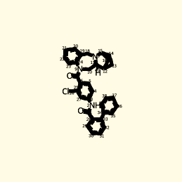 O=C(Nc1ccc(C(=O)N2C[C@H]3C4CCC(C4)N3Cc3ccccc32)c(Cl)c1)c1ccccc1-c1ccccc1